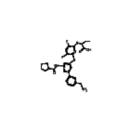 CCC(Oc1nc(Oc2cc(NC(=O)C3CCCC3)cc(-c3cccc(CN)c3)c2)c(F)cc1F)C(=O)O